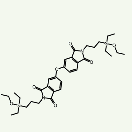 CCO[Si](CC)(CC)CCCN1C(=O)c2ccc(Oc3ccc4c(c3)C(=O)N(CCC[Si](CC)(CC)OCC)C4=O)cc2C1=O